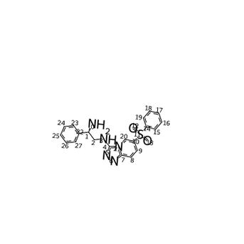 N[C@@H](CNc1nnc2ccc(S(=O)(=O)c3ccccc3)cn12)c1ccccc1